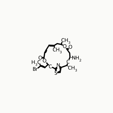 C/C(Br)=C\C1Cc2nc(cs2)[C@@H](C)C[C@@H](N)CC(=O)OC(C)C/C(C)=C/C=C\C(=O)O1